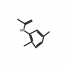 C=C(C)Nc1cc(C)ccc1C